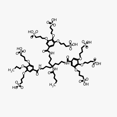 CCCCC(=O)NC(CCCNC(=O)c1cc(OCCCS(=O)(=O)O)c(OCCC)c(OCCCS(=O)(=O)O)c1)(CCCNC(=O)c1cc(OCCCS(=O)(=O)O)c(OCCCS(=O)(=O)O)c(OCCCS(=O)(=O)O)c1)CCCNC(=O)c1cc(OCCCS(=O)(=O)O)c(OCCCS(=O)(=O)O)c(OCCCS(=O)(=O)O)c1